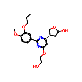 CCCOc1cc(-c2nc(OCCO)cc([C@@H]3COB(O)C3)n2)ccc1OC